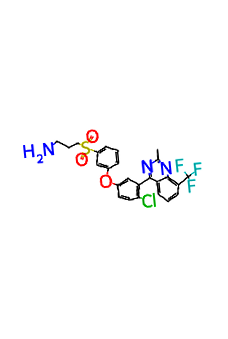 Cc1nc(-c2cc(Oc3cccc(S(=O)(=O)CCCN)c3)ccc2Cl)c2cccc(C(F)(F)F)c2n1